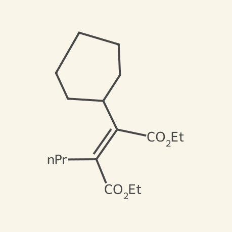 CCC/C(C(=O)OCC)=C(/C(=O)OCC)C1CCCCC1